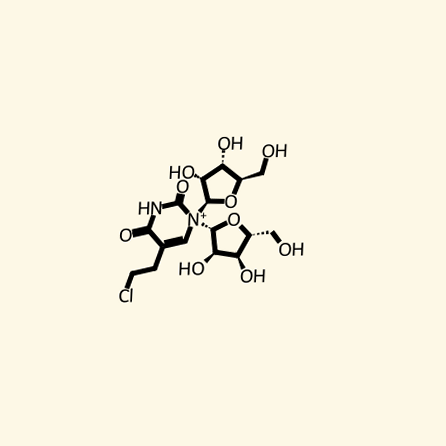 O=C1NC(=O)[N+]([C@@H]2O[C@H](CO)[C@@H](O)[C@H]2O)([C@@H]2O[C@H](CO)[C@@H](O)[C@H]2O)C=C1CCCl